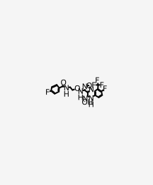 O=C(NCCONc1nonc1/C(=N/O)Nc1ccc(F)c(C(F)(F)F)c1)c1ccc(F)cc1